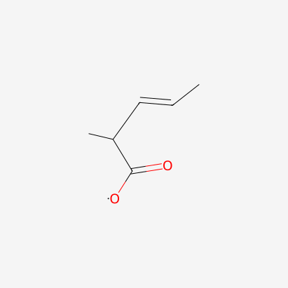 C/C=C/C(C)C([O])=O